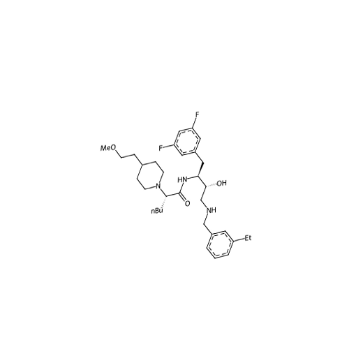 CCCC[C@@H](C(=O)N[C@@H](Cc1cc(F)cc(F)c1)[C@H](O)CNCc1cccc(CC)c1)N1CCC(CCOC)CC1